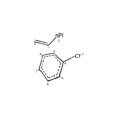 C=CCCC.Clc1ccccc1